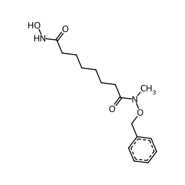 CN(OCc1ccccc1)C(=O)CCCCCCC(=O)NO